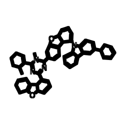 CC1CCCC=C1C1=NC(C2=CC=CC3OC4=C(C=CCC4)C23)=NC(c2ccc3c(c2)OC2C=CC=C(n4c5ccccc5c5cc(C6C=CC=CC6)ccc54)C32)N1C